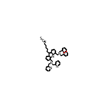 S=C=NCCCCCc1c2cccc(CN(Cc3ccccn3)Cc3ccccn3)c2nc2c(CN(Cc3ccccn3)Cc3ccccn3)cccc12